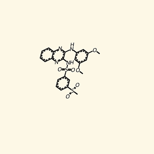 COc1cc(Nc2nc3ccccc3nc2NS(=O)(=O)c2cccc(S(C)(=O)=O)c2)cc(OC)c1